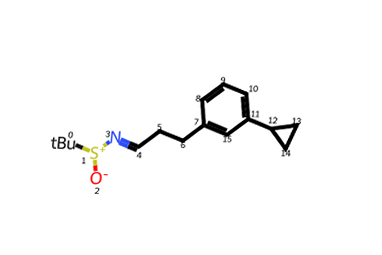 CC(C)(C)[S+]([O-])N=CCCc1cccc(C2CC2)c1